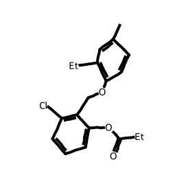 CCC(=O)Oc1cccc(Cl)c1COc1ccc(C)cc1CC